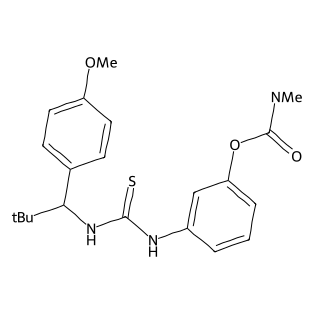 CNC(=O)Oc1cccc(NC(=S)NC(c2ccc(OC)cc2)C(C)(C)C)c1